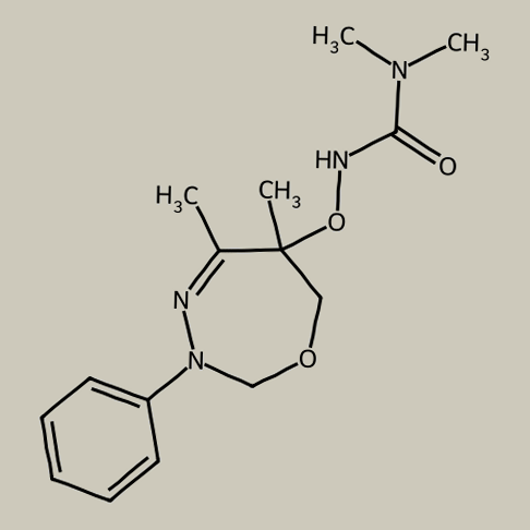 CC1=NN(c2ccccc2)COCC1(C)ONC(=O)N(C)C